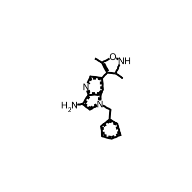 CC1=C(c2cnc3c(N)cn(Cc4ccccc4)c3c2)C(C)NO1